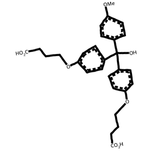 COc1ccc(C(O)(c2ccc(OCCCC(=O)O)cc2)c2ccc(OCCCC(=O)O)cc2)cc1